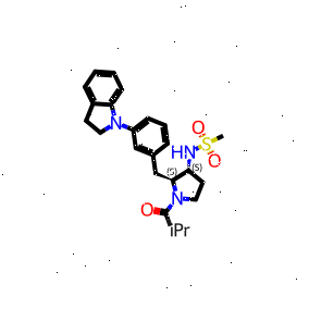 CC(C)C(=O)N1CC[C@H](NS(C)(=O)=O)[C@@H]1Cc1cccc(N2CCc3ccccc32)c1